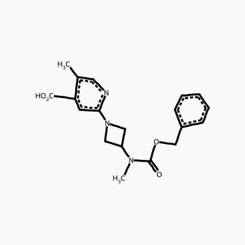 Cc1cnc(N2CC(N(C)C(=O)OCc3ccccc3)C2)cc1C(=O)O